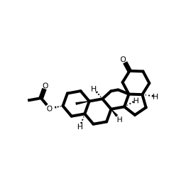 CC(=O)O[C@@H]1CC[C@@]2(C)[C@@H](CC[C@H]3[C@@H]4CC[C@@H]5CCC(=O)CC54CC[C@@H]32)C1